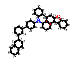 c1ccc(N(c2ccc(-c3cccc(-c4ccc5ccccc5c4)c3)cc2)c2ccccc2-c2ccc3c(c2)oc2ccccc23)cc1